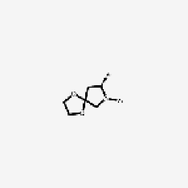 CC(=O)[C@@H]1CC2(CN1C(C)=O)OCCO2